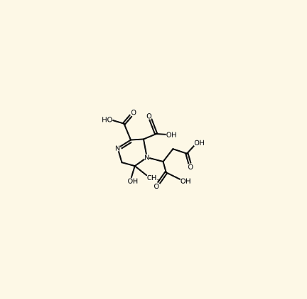 CC1(O)CN=C(C(=O)O)C(C(=O)O)N1C(CC(=O)O)C(=O)O